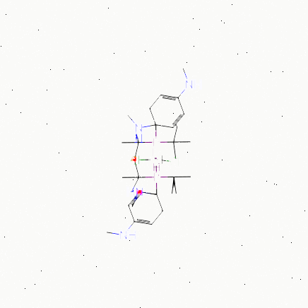 CNC1=CCC(NC)([PH](C(C)(C)C)(C(C)(C)C)[Pd]([Cl])([Cl])[PH](C(C)(C)C)(C(C)(C)C)C2(NC)C=CC(NC)=CC2)C=C1